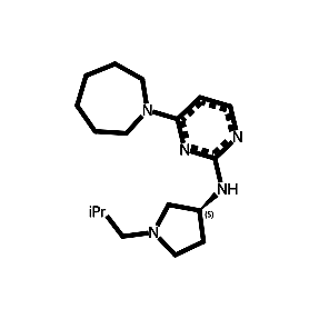 CC(C)CN1CC[C@H](Nc2nccc(N3CCCCCC3)n2)C1